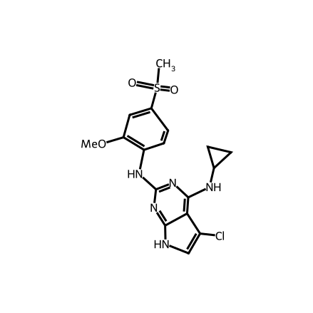 COc1cc(S(C)(=O)=O)ccc1Nc1nc(NC2CC2)c2c(Cl)c[nH]c2n1